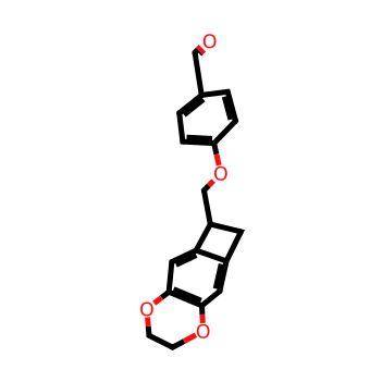 O=Cc1ccc(OCC2Cc3cc4c(cc32)OCCO4)cc1